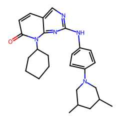 CC1CC(C)CN(c2ccc(Nc3ncc4ccc(=O)n(C5CCCCC5)c4n3)cc2)C1